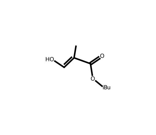 CCC(C)OC(=O)C(C)=CO